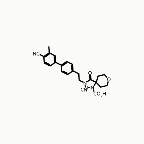 Cc1cc(-c2ccc(CCN(C#N)C(=O)C3(NC(=O)O)CCOCC3)cc2)ccc1C#N